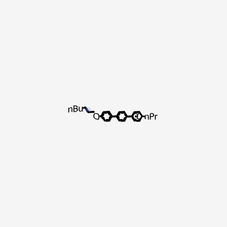 CCCC/C=C/COc1ccc(-c2ccc(C34CCC(CCC)(CC3)CC4)cc2)cc1